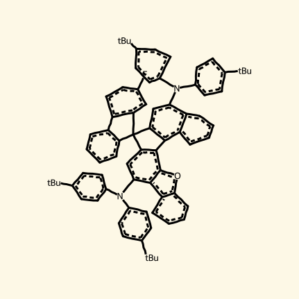 CC(C)(C)c1ccc(N(c2ccc(C(C)(C)C)cc2)c2cc3c(c4ccccc24)-c2c(cc(N(c4ccc(C(C)(C)C)cc4)c4ccc(C(C)(C)C)cc4)c4c2oc2ccccc24)C32c3ccccc3-c3ccc(F)cc32)cc1